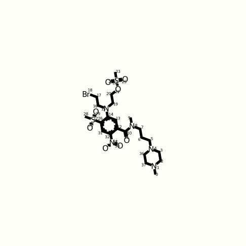 CN1CCN(CCCN(C)C(=O)c2cc(N(CCBr)CCOS(C)(=O)=O)c(S(C)(=O)=O)cc2[N+](=O)[O-])CC1